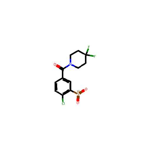 O=C(c1ccc(Cl)c([SH](=O)=O)c1)N1CCC(F)(F)CC1